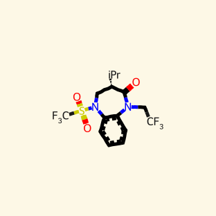 CC(C)[C@H]1CN(S(=O)(=O)C(F)(F)F)c2ccccc2N(CC(F)(F)F)C1=O